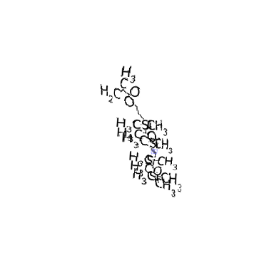 C=C(C)C(=O)OCCC[Si](C)(C)C(C)O[Si](C)(C)/C=C/[Si](C)(C)C(C)O[Si](C)(C)C